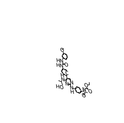 CCOC(=O)N=S(C)(=O)c1ccc(Nc2ncc(-c3ccc(NC(=O)Nc4cccc(OC)c4)cc3)c(NC(C)CO)n2)cc1